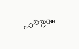 Clc1ccc(-c2ccc(COCC3(c4ccccc4)CCNCC3)cn2)cc1